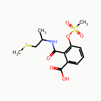 CSCC(C)NC(=O)c1c(OS(C)(=O)=O)cccc1C(=O)O